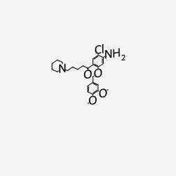 COc1ccc(COc2cc(N)c(Cl)cc2C(=O)CCCCN2CCCCC2)cc1OC